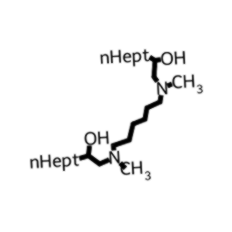 CCCCCCCC(O)CN(C)CCCCCCN(C)CC(O)CCCCCCC